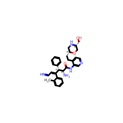 Cc1ccccc1/C(=C\C=N)[C@H](c1ccccc1)[C@@H](N)C(=O)Nc1cncc(F)c1CC[C@@H]1CN[C@H](CO)CO1